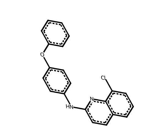 Clc1cccc2ccc(Nc3ccc(Oc4ccccc4)cc3)nc12